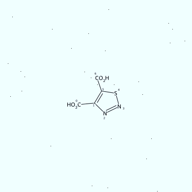 O=C(O)c1nnsc1C(=O)O